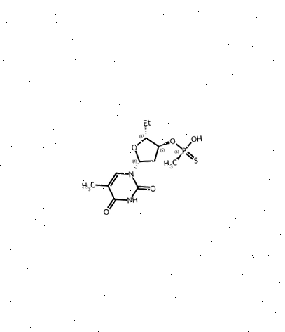 CC[C@H]1O[C@@H](n2cc(C)c(=O)[nH]c2=O)C[C@@H]1O[P@](C)(O)=S